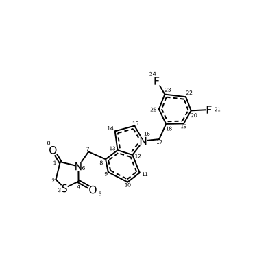 O=C1CSC(=O)N1Cc1cccc2c1ccn2Cc1cc(F)cc(F)c1